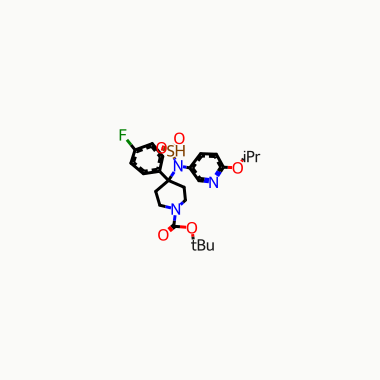 CC(C)Oc1ccc(N([SH](=O)=O)C2(c3ccc(F)cc3)CCN(C(=O)OC(C)(C)C)CC2)cn1